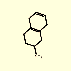 CC1CCC2=C(CC=CC2)C1